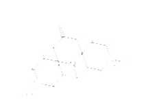 CN1C2(CC[S+]([O-])CC2)CC(=O)CC12CC[S+]([O-])CC2